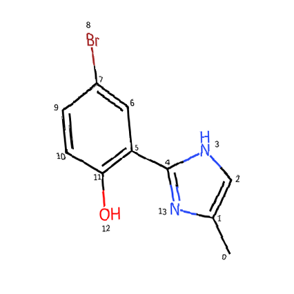 Cc1c[nH]c(-c2cc(Br)ccc2O)n1